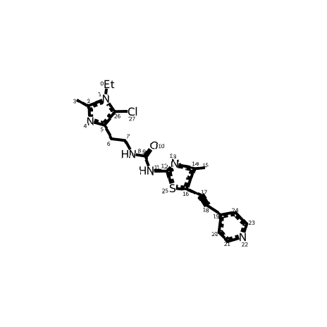 CCn1c(C)nc(CCNC(=O)Nc2nc(C)c(C#Cc3ccncc3)s2)c1Cl